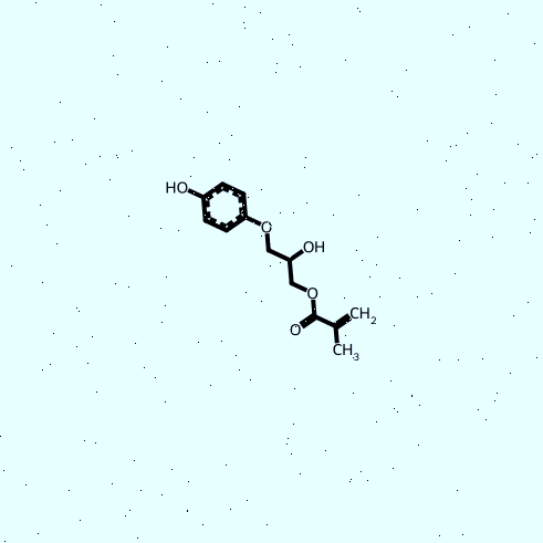 C=C(C)C(=O)OCC(O)COc1ccc(O)cc1